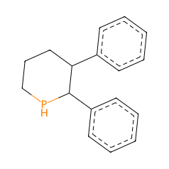 c1ccc(C2CCCPC2c2ccccc2)cc1